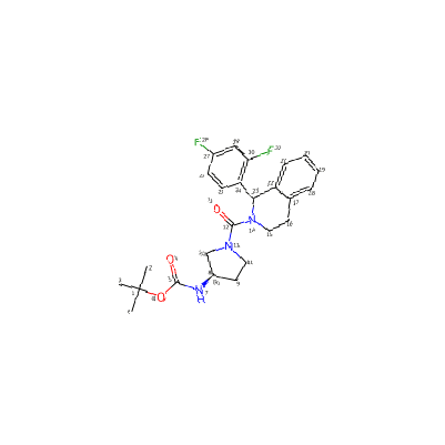 CC(C)(C)OC(=O)N[C@@H]1CCN(C(=O)N2CCc3ccccc3C2c2ccc(F)cc2F)C1